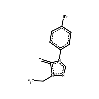 CC(C)c1ccc(-n2cnn(CC(F)(F)F)c2=O)cc1